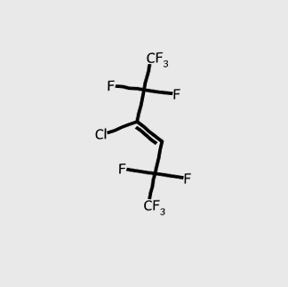 FC(F)(F)C(F)(F)C=C(Cl)C(F)(F)C(F)(F)F